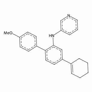 COc1ccc(-c2ccc(C3=CCCCC3)cc2Nc2cccnc2)cc1